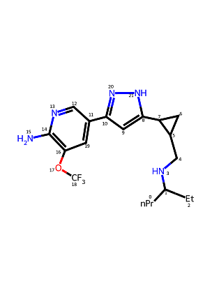 CCCC(CC)NCC1CC1c1cc(-c2cnc(N)c(OC(F)(F)F)c2)n[nH]1